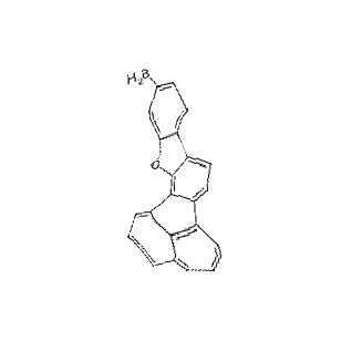 Bc1ccc2c(c1)oc1c3c(ccc12)-c1cccc2cccc-3c12